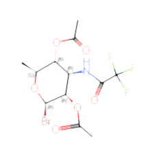 CC(=O)O[C@@H]1[C@@H](NC(=O)C(F)(F)F)[C@@H](OC(C)=O)[C@@H](Br)O[C@H]1C